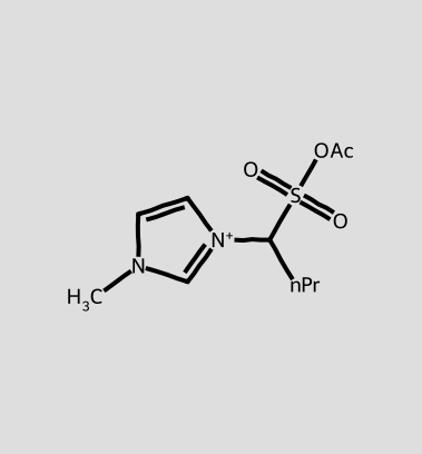 CCCC([n+]1ccn(C)c1)S(=O)(=O)OC(C)=O